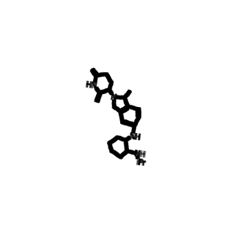 C=C1CCC(N2Cc3cc(NC4CCCCC4NC(C)C)ccc3C2C)C(=C)N1